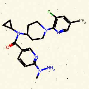 CN(N)c1ccc(C(=O)N(C2CC2)C2CCN(c3ncc(C(F)(F)F)cc3F)CC2)cn1